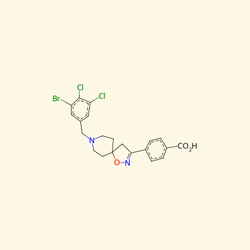 O=C(O)c1ccc(C2=NOC3(CCN(Cc4cc(Cl)c(Cl)c(Br)c4)CC3)C2)cc1